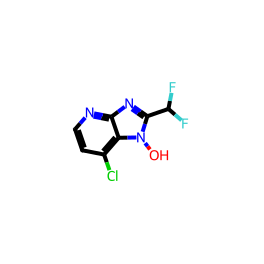 On1c(C(F)F)nc2nccc(Cl)c21